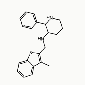 Cc1c(CNC2CCCNC2c2ccccc2)sc2ccccc12